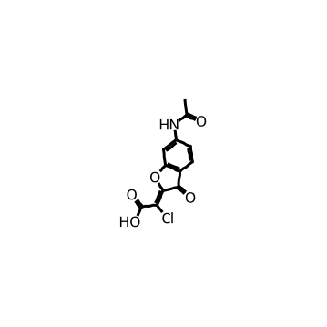 CC(=O)Nc1ccc2c(c1)OC(=C(Cl)C(=O)O)C2=O